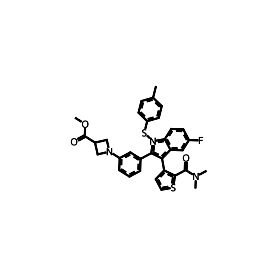 COC(=O)C1CN(c2cccc(-c3c(-c4ccsc4C(=O)N(C)C)c4cc(F)ccc4n3Sc3ccc(C)cc3)c2)C1